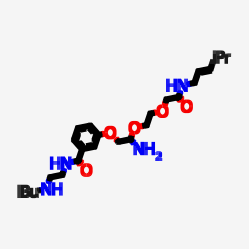 CCC(C)NCCNC(=O)c1cccc(OCC(N)OCCOCC(=O)NC/C=C/C(C)C)c1